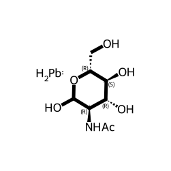 CC(=O)N[C@H]1C(O)O[C@H](CO)[C@@H](O)[C@@H]1O.[PbH2]